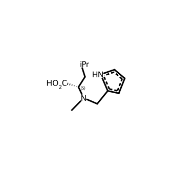 CC(C)C[C@@H](C(=O)O)N(C)Cc1ccc[nH]1